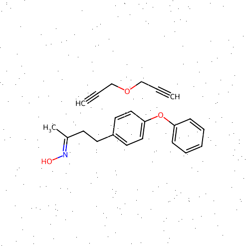 C#CCOCC#C.CC(CCc1ccc(Oc2ccccc2)cc1)=NO